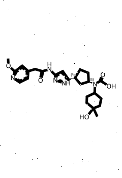 COc1cc(CC(=O)Nc2cc([C@@H]3CC[C@H](N(C(=O)O)C4CCC(C)(O)CC4)C3)[nH]n2)ccn1